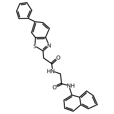 O=C(Cc1nc2ccc(-c3ccccc3)cc2s1)NCC(=O)Nc1cccc2ccccc12